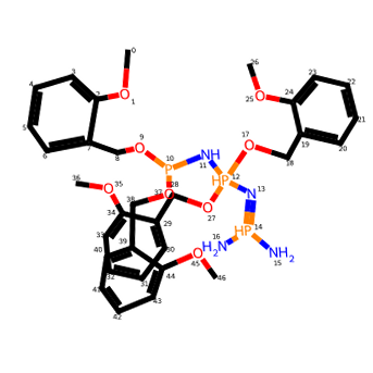 COc1ccccc1COP(N[PH](N=[PH](N)N)(OCc1ccccc1OC)OCc1ccccc1OC)OCc1ccccc1OC